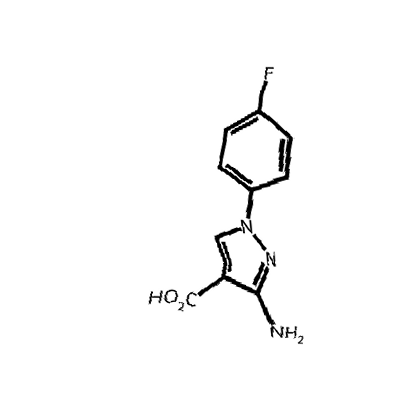 Nc1nn(-c2ccc(F)cc2)cc1C(=O)O